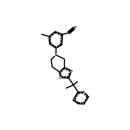 Cc1cc(C#N)cc(N2CCc3oc(C(C)(C)c4ccccn4)nc3C2)c1